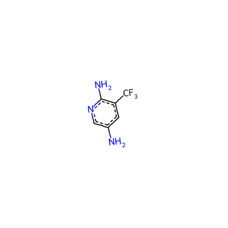 Nc1cnc(N)c(C(F)(F)F)c1